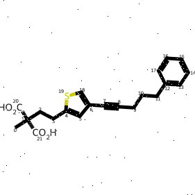 CC(CCc1cc(C#CCCCc2ccccc2)cs1)(C(=O)O)C(=O)O